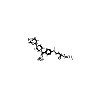 CCOC(=O)CCNc1ccc(C(=O)N2CCN(C3CCNCC3)CC2)cc1.Cl.Cl